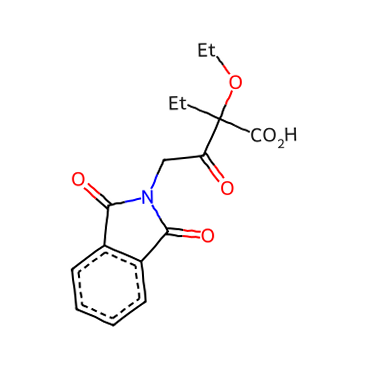 CCOC(CC)(C(=O)O)C(=O)CN1C(=O)c2ccccc2C1=O